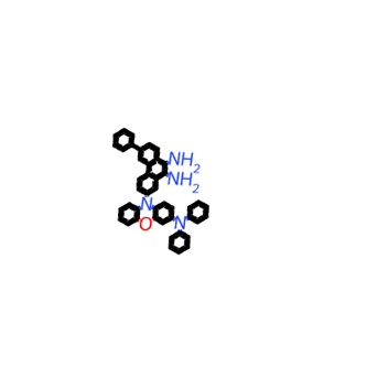 Nc1c(N)c2ccc(-c3ccccc3)cc2c2ccc(N3c4ccccc4Oc4cc(N(c5ccccc5)c5ccccc5)ccc43)cc12